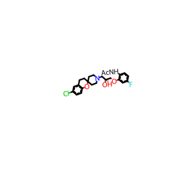 CC(=O)Nc1ccc(F)cc1OC[C@H](O)CN1CCC2(CCc3cc(Cl)ccc3O2)CC1